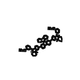 COc1cccc(N2c3ccc(-c4ccc5c(c4)C4(c6ccccc6-c6ccccc64)c4cc(-c6ccc7c(c6)C6(C)CCCCC6(C)N7c6cccc(OC)c6)ccc4-5)cc3C3(C)CCCCC23C)c1